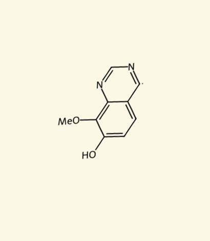 COc1c(O)ccc2[c]ncnc12